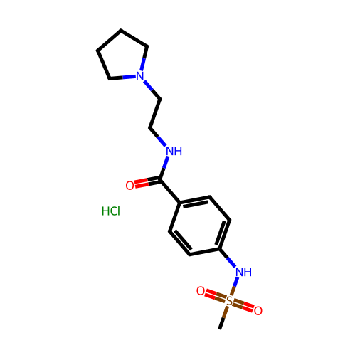 CS(=O)(=O)Nc1ccc(C(=O)NCCN2CCCC2)cc1.Cl